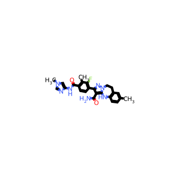 Cc1ccc2c(c1)CCn1nc(-c3ccc(C(=O)Nc4cn(C)cn4)c(C)c3F)c(C(N)=O)c1N2